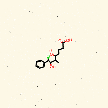 CC(C(O)CCCC(=O)O)C(O)C(Cl)c1ccccc1